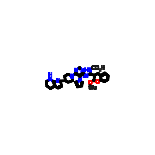 CC(C)(C)OC(=O)C(Cc1ccccc1)C(NC(=O)O)Nc1ncnc(N2CCC(c3ccc4c(n3)NCCC4)CC2)c1-n1cccc1